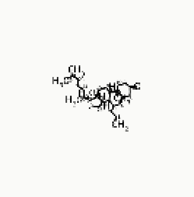 C=CCC1C=C2CC(=O)CC[C@]2(C)[C@H]2CC[C@]3(C)[C@@H]([C@H](C)CCCC(C)C)CC[C@H]3[C@H]12